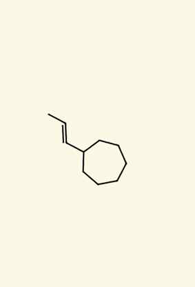 C/C=C/C1CCCCCC1